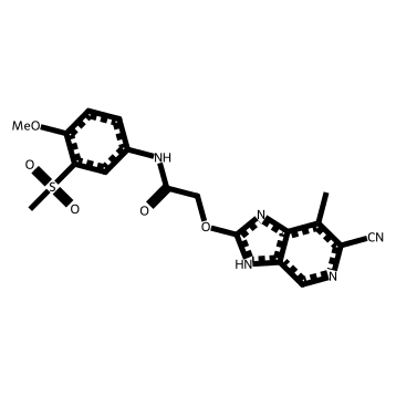 COc1ccc(NC(=O)COc2nc3c(C)c(C#N)ncc3[nH]2)cc1S(C)(=O)=O